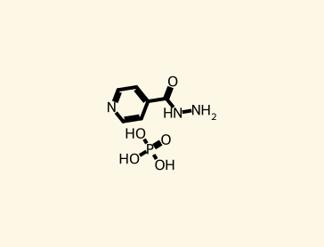 NNC(=O)c1ccncc1.O=P(O)(O)O